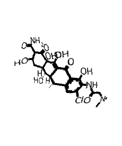 C[C@H]1c2cc(Cl)c(NC(=O)CN(C)C)c(O)c2C(=O)C2=C(O)[C@]3(O)C(=O)C(C(N)=O)C(O)C[C@@H]3[C@@H](O)[C@@H]21